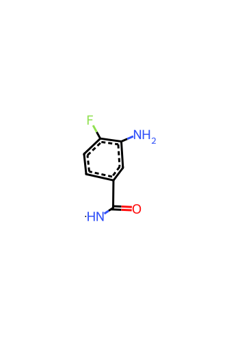 [NH]C(=O)c1ccc(F)c(N)c1